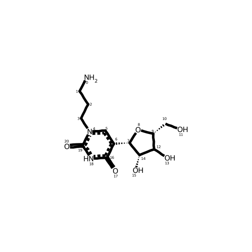 NCCCn1cc([C@@H]2O[C@H](CO)C(O)[C@@H]2O)c(=O)[nH]c1=O